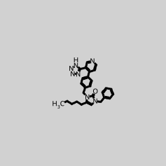 CCCCCc1cn(Cc2ccccc2)c(=O)n1Cc1ccc(-c2ccncc2-c2nnn[nH]2)cc1